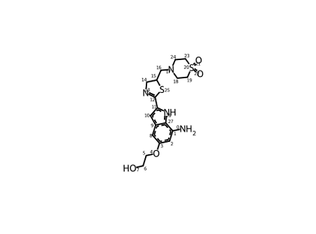 Nc1cc(OCCO)cc2cc(C3=NCC(CN4CCS(=O)(=O)CC4)S3)[nH]c12